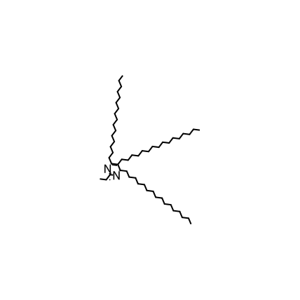 C[CH]c1nc(CCCCCCCCCCCCCCCC)c(CCCCCCCCCCCCCCCC)c(CCCCCCCCCCCCCCCC)n1